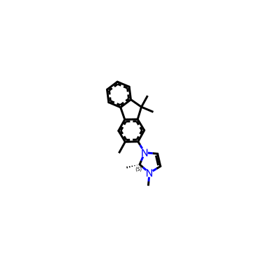 Cc1cc2c(cc1N1C=CN(C)[C@@H]1C)C(C)(C)c1ccccc1-2